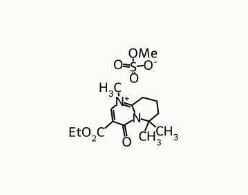 CCOC(=O)c1c[n+](C)c2n(c1=O)C(C)(C)CCC2.COS(=O)(=O)[O-]